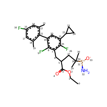 CCOC(=O)C(Cc1c(F)c(-c2c(C)cc(F)cc2C)cc(C2CC2)c1F)CC(C)(C)[S@+](N)[O-]